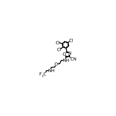 N#Cc1nc(-c2cc(Cl)cc(Cl)c2Cl)oc1NCCOCCNCC(F)(F)F